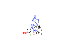 CC(Nc1ncnc2[nH]cnc12)c1nc2ccc(O)c(F)c2c(=O)n1N(C)C